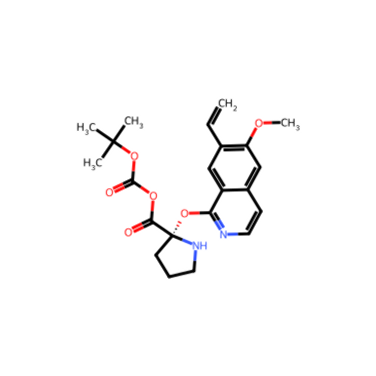 C=Cc1cc2c(O[C@@]3(C(=O)OC(=O)OC(C)(C)C)CCCN3)nccc2cc1OC